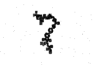 CC(CCC(=O)NC=O)N1C(=O)c2ccc(N3CCC(N4CC(C(=O)N5CC(Cn6cc(NC(=O)c7n[nH]c8c7CC7C(F)(F)C7(C)C8)cn6)C5)C4)CC3)cc2C1=O